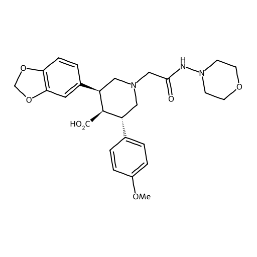 COc1ccc([C@H]2CN(CC(=O)NN3CCOCC3)C[C@H](c3ccc4c(c3)OCO4)[C@@H]2C(=O)O)cc1